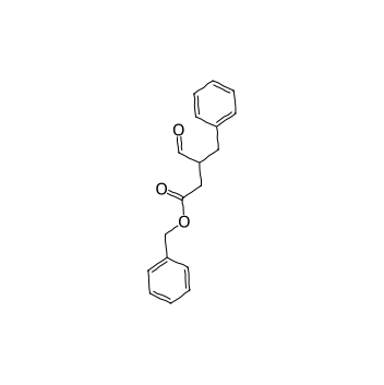 O=CC(CC(=O)OCc1ccccc1)Cc1ccccc1